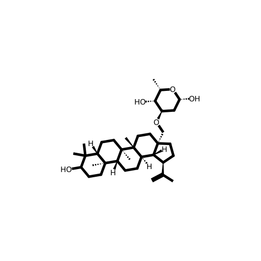 C=C(C)[C@@H]1CC[C@]2(CO[C@@H]3C[C@@H](O)O[C@@H](C)[C@H]3O)CC[C@]3(C)[C@H](CC[C@@H]4[C@@]5(C)CCC(O)C(C)(C)[C@@H]5CC[C@]43C)[C@@H]12